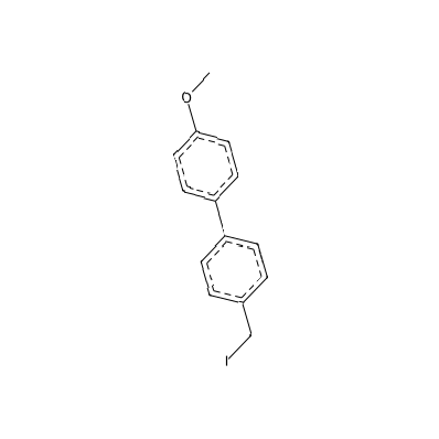 COc1ccc(-c2ccc(CI)cc2)cc1